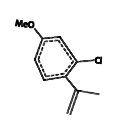 C=C(C)c1ccc(OC)cc1Cl